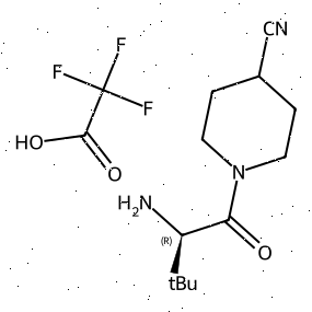 CC(C)(C)[C@@H](N)C(=O)N1CCC(C#N)CC1.O=C(O)C(F)(F)F